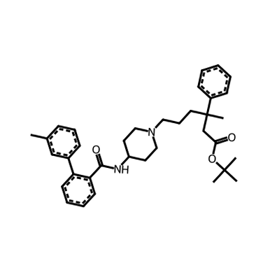 Cc1cccc(-c2ccccc2C(=O)NC2CCN(CCCC(C)(CC(=O)OC(C)(C)C)c3ccccc3)CC2)c1